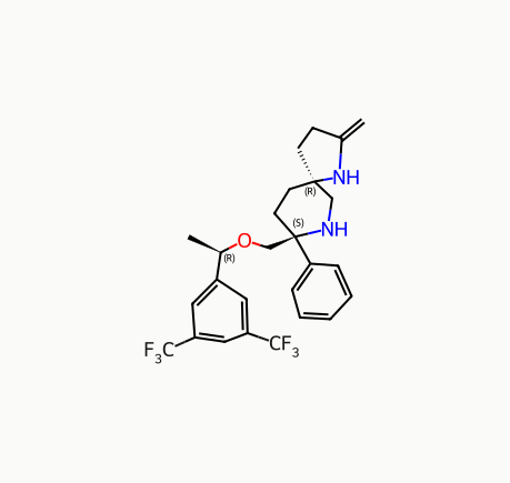 C=C1CC[C@]2(CC[C@@](CO[C@H](C)c3cc(C(F)(F)F)cc(C(F)(F)F)c3)(c3ccccc3)NC2)N1